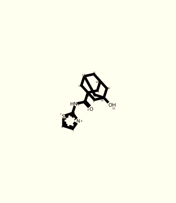 O=C(Nc1nccs1)C12CC3CC(CC(O)(C3)C1)C2